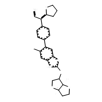 N=C/C(=C1/CCCN1)c1ccc(-c2cc3nc(OC4CO[C@@H]5CCO[C@H]45)[nH]c3cc2Cl)cc1